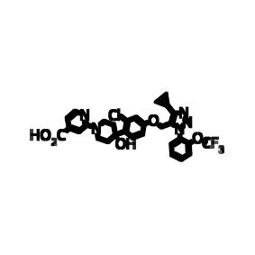 O=C(O)c1ccnc(N2CCC(O)(c3ccc(OCc4c(C5CC5)nnn4-c4ccccc4OC(F)(F)F)cc3Cl)CC2)c1